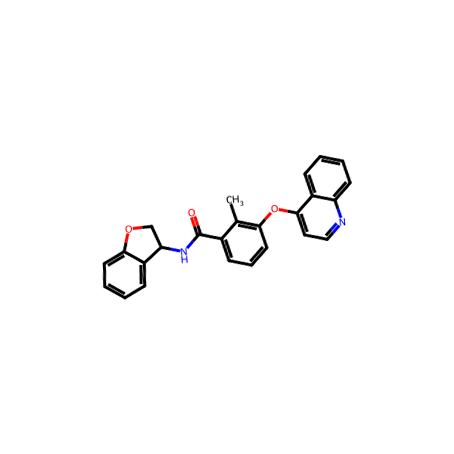 Cc1c(Oc2ccnc3ccccc23)cccc1C(=O)NC1COc2ccccc21